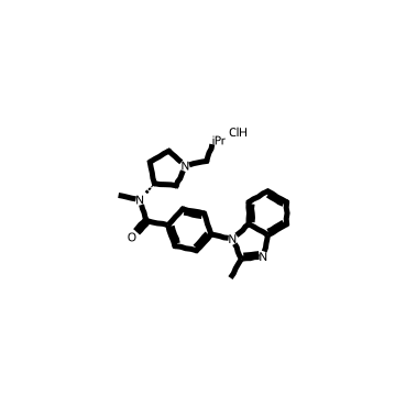 Cc1nc2ccccc2n1-c1ccc(C(=O)N(C)[C@@H]2CCN(CC(C)C)C2)cc1.Cl